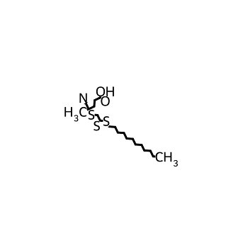 CCCCCCCCCCCCSC(=S)CSC(C)(C#N)CCC(=O)O